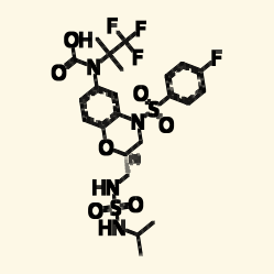 CC(C)NS(=O)(=O)NC[C@H]1CN(S(=O)(=O)c2ccc(F)cc2)c2cc(N(C(=O)O)C(C)(C)C(F)(F)F)ccc2O1